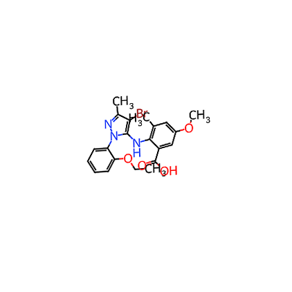 CCOc1ccccc1-n1nc(C)c(Br)c1Nc1c(C)cc(OC)cc1C(=O)O